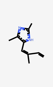 C=C/C(C)=C\c1[nH]c(C)nc1C